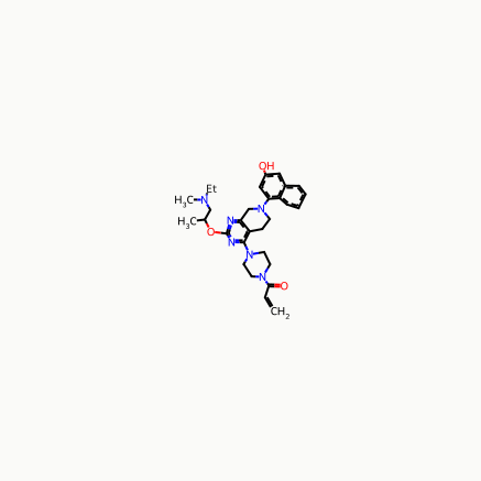 C=CC(=O)N1CCN(c2nc(OC(C)CN(C)CC)nc3c2CCN(c2cc(O)cc4ccccc24)C3)CC1